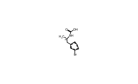 C[C@H](Cc1cccc(Br)c1)NC(=O)O